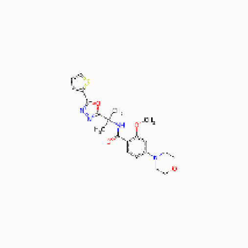 COc1cc(N2CCOCC2)ccc1C(=O)NC(C)(C)c1nnc(-c2cccs2)o1